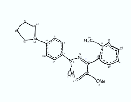 COC(=O)/C(=N\N(C)c1ccc(N2CCCC2)cc1)c1cccc[n+]1C